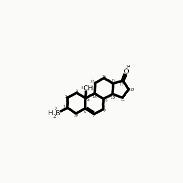 BC1CCC2(C)C(=CCC3C4CCC(=O)C4CCC32)C1